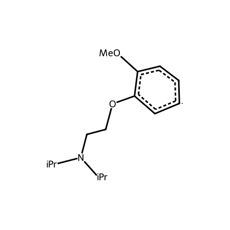 COc1cc[c]cc1OCCN(C(C)C)C(C)C